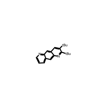 CC(C)(C)c1cc2cc3ncccc3cc2nc1C(C)(C)C